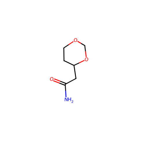 NC(=O)CC1CCOCO1